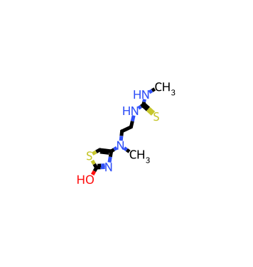 CNC(=S)NCCN(C)c1csc(O)n1